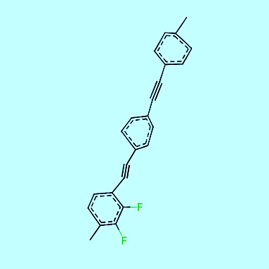 Cc1ccc(C#Cc2ccc(C#Cc3ccc(C)c(F)c3F)cc2)cc1